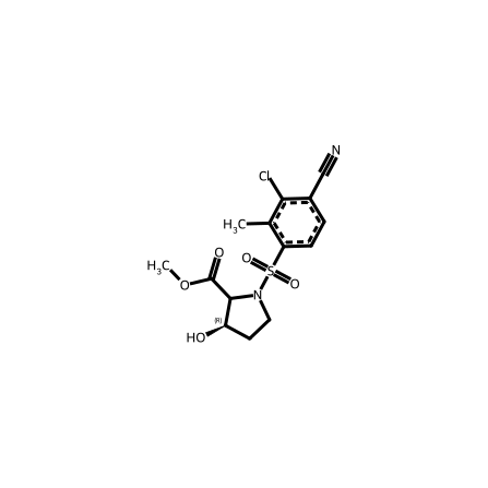 COC(=O)C1[C@H](O)CCN1S(=O)(=O)c1ccc(C#N)c(Cl)c1C